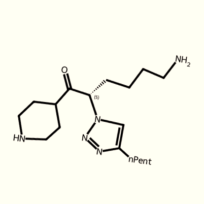 CCCCCc1cn([C@@H](CCCCN)C(=O)C2CCNCC2)nn1